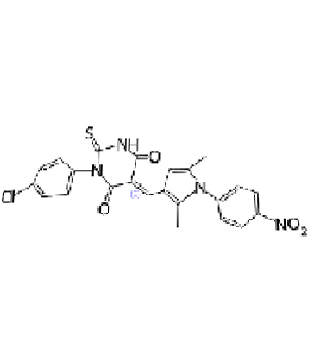 Cc1cc(/C=C2\C(=O)NC(=S)N(c3ccc(Cl)cc3)C2=O)c(C)n1-c1ccc([N+](=O)[O-])cc1